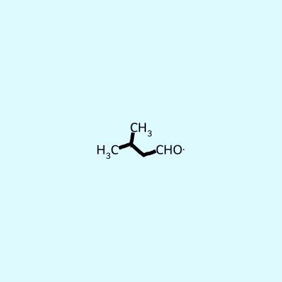 C[C](C)C[C]=O